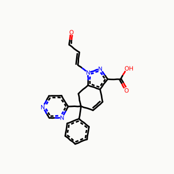 O=CC=Cn1nc(C(=O)O)c2c1CC(c1ccccc1)(c1ccncn1)C=C2